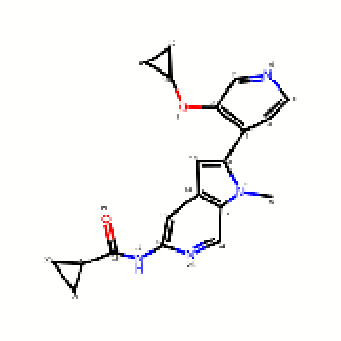 Cn1c(-c2ccncc2OC2CC2)cc2cc(NC(=O)C3CC3)ncc21